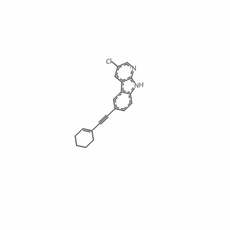 Clc1cnc2[nH]c3ccc(C#CC4=CCCCC4)cc3c2c1